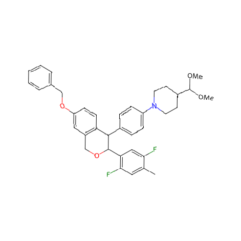 COC(OC)C1CCN(c2ccc(C3c4ccc(OCc5ccccc5)cc4COC3c3cc(F)c(C)cc3F)cc2)CC1